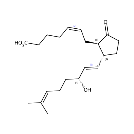 CC(C)=CCC[C@@H](O)/C=C/[C@H]1CCC(=O)[C@@H]1C/C=C\CCCC(=O)O